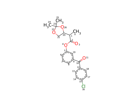 CC(C(=O)Oc1cccc(C(=O)c2ccc(Cl)cc2)c1)C1COC(C)(C)O1